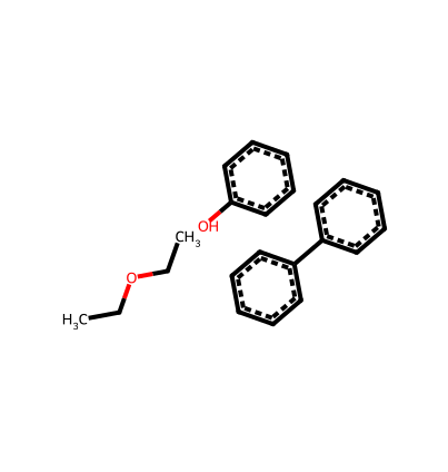 CCOCC.Oc1ccccc1.c1ccc(-c2ccccc2)cc1